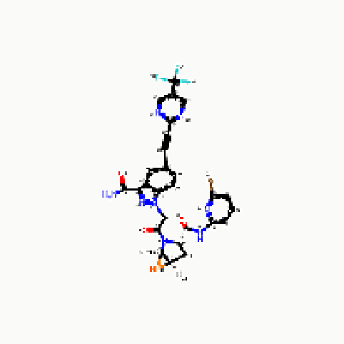 NC(=O)c1nn(CC(=O)N2[C@@H]3P[C@@H]3C[C@H]2C(=O)Nc2cccc(Br)n2)c2ccc(C#Cc3ncc(C(F)(F)F)cn3)cc12